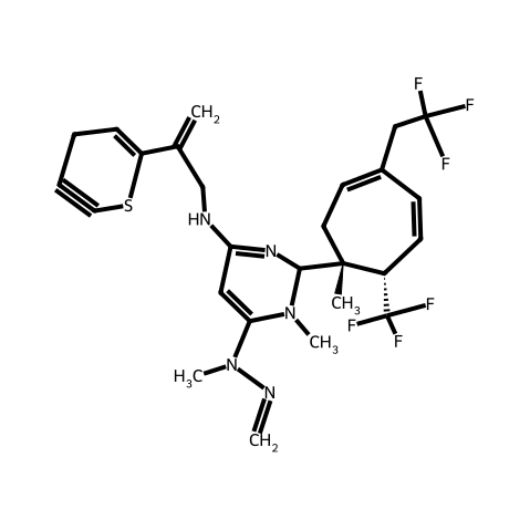 C=NN(C)C1=CC(NCC(=C)C2=CCC#CS2)=NC([C@]2(C)CC=C(CC(F)(F)F)C=C[C@@H]2C(F)(F)F)N1C